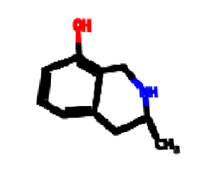 CC1Cc2cccc(O)c2CN1